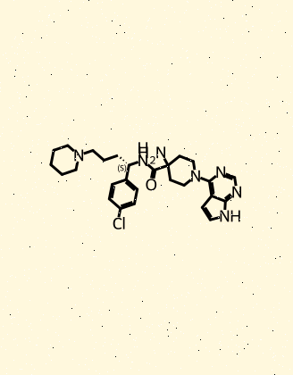 NC1(C(=O)N[C@@H](CCCN2CCCCC2)c2ccc(Cl)cc2)CCN(c2ncnc3[nH]ccc23)CC1